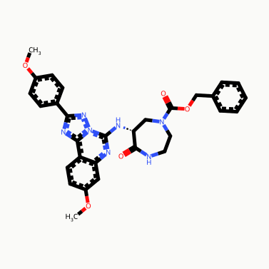 COc1ccc(-c2nc3c4ccc(OC)cc4nc(N[C@@H]4CN(C(=O)OCc5ccccc5)CCNC4=O)n3n2)cc1